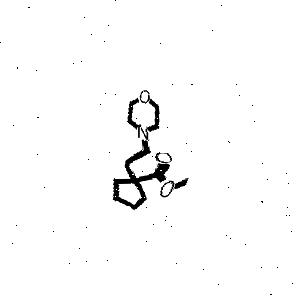 COC(=O)C1(CCN2CCOCC2)CCCC1